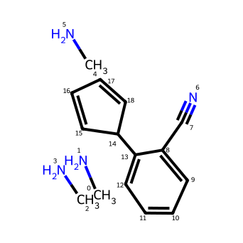 CN.CN.CN.N#Cc1ccccc1C1C=CC=C1